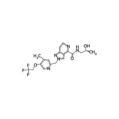 Cc1cc(Cn2cc3c(C(=O)NC[C@H](C)O)nccc3n2)ncc1OCC(F)(F)F